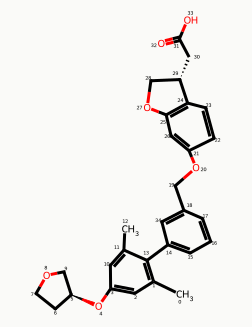 Cc1cc(O[C@H]2CCOC2)cc(C)c1-c1cccc(COc2ccc3c(c2)OC[C@@H]3CC(=O)O)c1